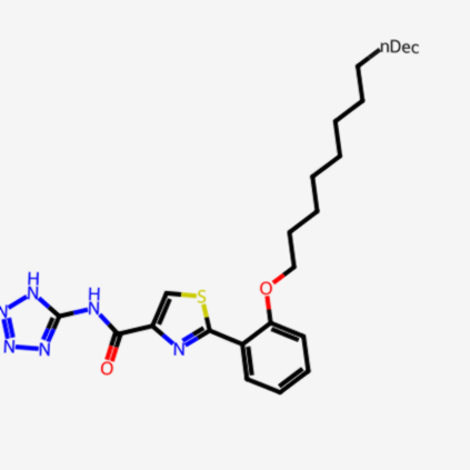 CCCCCCCCCCCCCCCCCCOc1ccccc1-c1nc(C(=O)Nc2nnn[nH]2)cs1